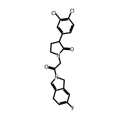 O=C(CN1CCC(c2ccc(Cl)c(Cl)c2)C1=O)N1C=C2CC=C(F)C=C2C1